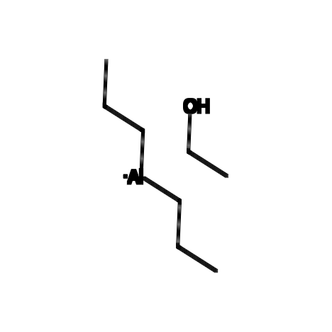 CCO.CC[CH2][Al][CH2]CC